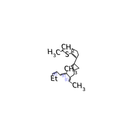 C=C(C)SC1=C(C2=CC(CC(=C\C)/C(C)=C/C=C\CC)C2)CCC1